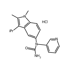 Cc1c(C(C)C)c2cc(N(C(N)=O)c3cccnc3)ccc2n1C.Cl